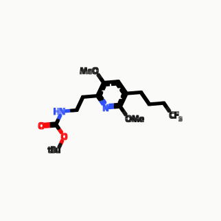 COc1cc(CCCC(F)(F)F)c(OC)nc1CCNC(=O)OC(C)(C)C